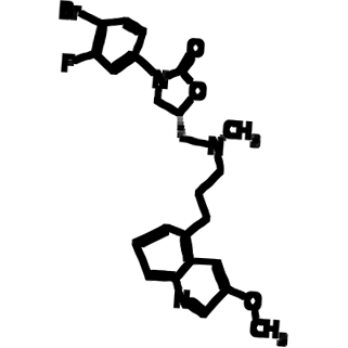 COc1cnc2cccc(CCCN(C)C[C@@H]3CN(c4ccc(Br)c(F)c4)C(=O)O3)c2c1